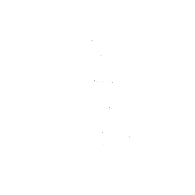 O=C(O)Cn1ncn2c(cc3ccccc32)c1=O